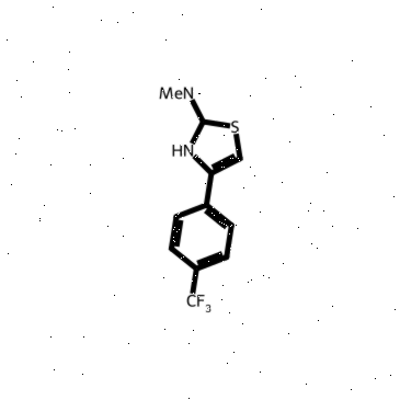 CNC1NC(c2ccc(C(F)(F)F)cc2)=CS1